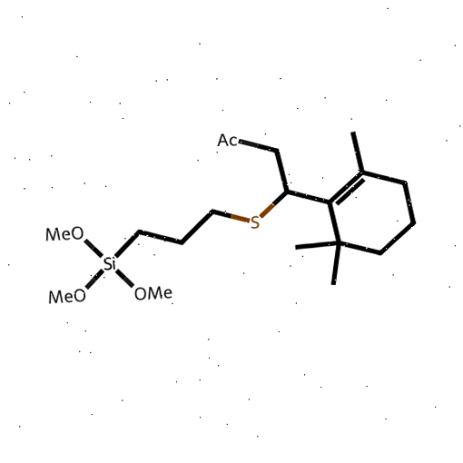 CO[Si](CCCSC(CC(C)=O)C1=C(C)CCCC1(C)C)(OC)OC